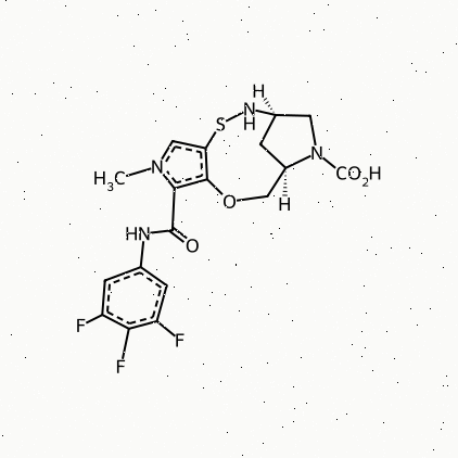 Cn1cc2c(c1C(=O)Nc1cc(F)c(F)c(F)c1)OC[C@H]1C[C@H](CN1C(=O)O)NS2